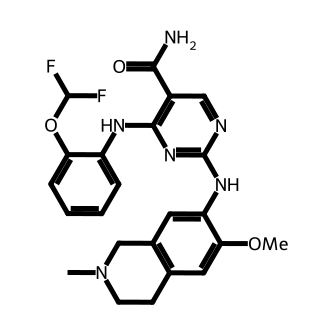 COc1cc2c(cc1Nc1ncc(C(N)=O)c(Nc3ccccc3OC(F)F)n1)CN(C)CC2